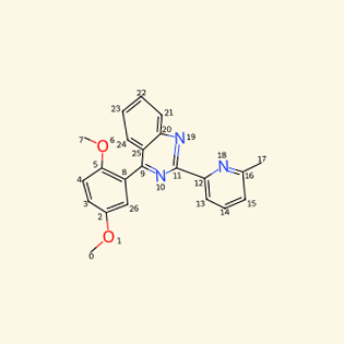 COc1ccc(OC)c(-c2nc(-c3cccc(C)n3)nc3ccccc23)c1